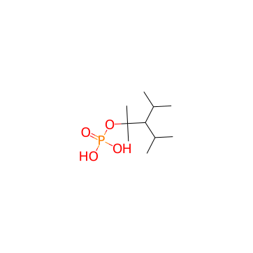 CC(C)C(C(C)C)C(C)(C)OP(=O)(O)O